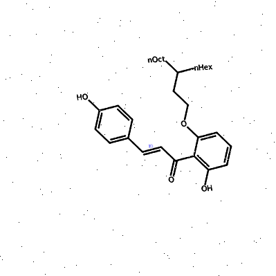 CCCCCCCCC(CCCCCC)CCOc1cccc(O)c1C(=O)/C=C/c1ccc(O)cc1